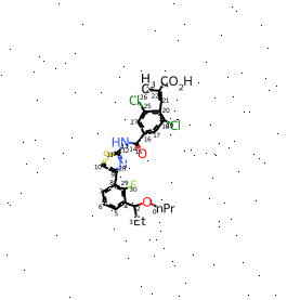 CCCOC(CC)c1cccc(-c2csc(NC(=O)c3cc(Cl)c(C=C(C)C(=O)O)c(Cl)c3)n2)c1F